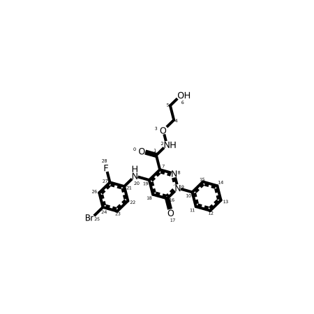 O=C(NOCCO)c1nn(-c2ccccc2)c(=O)cc1Nc1ccc(Br)cc1F